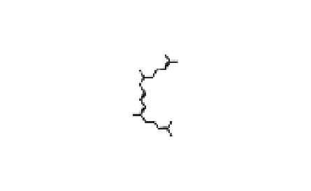 CC(C)=CCCC(C)=CC=CCC(C)CCC=C(C)C